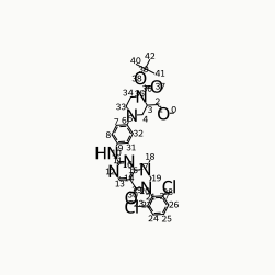 COCC1CN(c2ccc(Nc3ncc4c(n3)N(C)CN(c3c(Cl)cccc3Cl)C4=O)cc2)CCN1C(=O)OC(C)(C)C